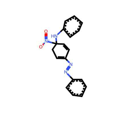 O=[N+]([O-])C1(Nc2ccccc2)C=CC(N=Nc2ccccc2)=CC1